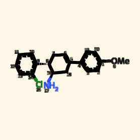 COc1ccc(C2=CC[C@@H](c3ccccc3Cl)[C@H](N)C2)cc1